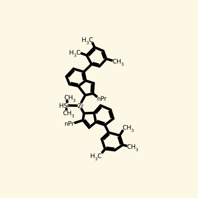 CCCC1=Cc2c(-c3cc(C)cc(C)c3C)cccc2[CH]1[Zr]([CH]1C(CCC)=Cc2c(-c3cc(C)cc(C)c3C)cccc21)[SiH](C)C